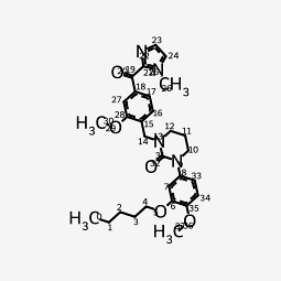 CCCCCOc1cc(N2CCCN(Cc3ccc(C(=O)c4nccn4C)cc3OC)C2=O)ccc1OC